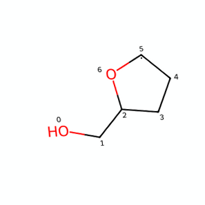 OCC1CC[CH]O1